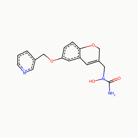 NC(=O)N(O)CC1=Cc2cc(OCc3cccnc3)ccc2OC1